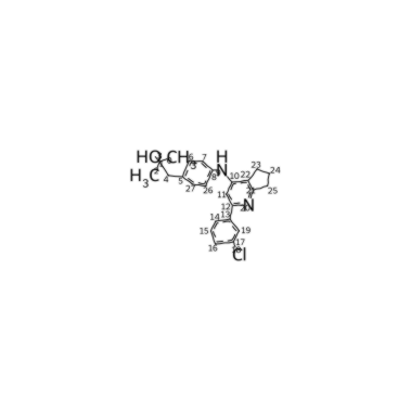 CC(C)(O)Cc1ccc(Nc2cc(-c3cccc(Cl)c3)nc3c2CCC3)cc1